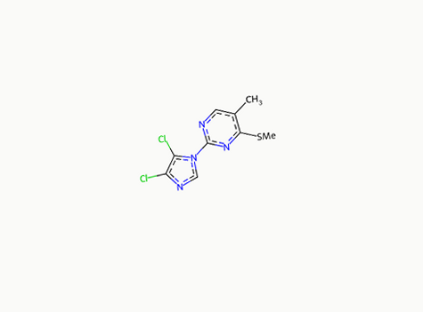 CSc1nc(-n2cnc(Cl)c2Cl)ncc1C